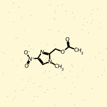 CC(=O)OCc1nc([N+](=O)[O-])cn1C